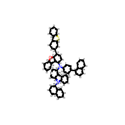 c1ccc2c(-c3ccc(N(c4ccc(-c5ccc6c(c5)sc5ccccc56)c5oc6ccccc6c45)c4cccc5c4c4ccccc4n5-c4cccc5ccccc45)cc3)cccc2c1